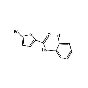 O=C(Nc1ccccc1Cl)c1ccc(Br)s1